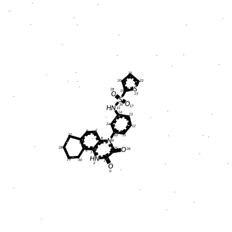 O=c1[nH]c2c3c(ccc2n(-c2cccc(NS(=O)(=O)c4cccs4)c2)c1=O)CCCC3